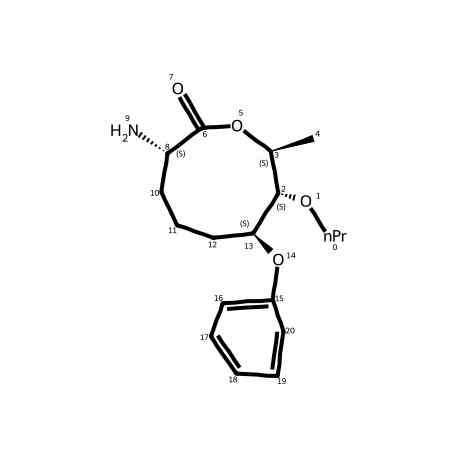 CCCO[C@H]1[C@H](C)OC(=O)[C@@H](N)CCC[C@@H]1Oc1ccccc1